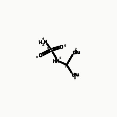 CC(C)(C)C(NS(N)(=O)=O)C(C)(C)C